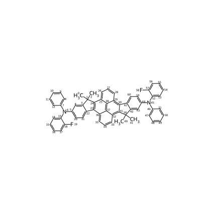 CC1(C)c2cc(N(c3ccccc3)c3ccccc3F)ccc2-c2c1c1cccc3c4c(c5cccc2c5c31)C(C)(C)c1cc(N(c2ccccc2)c2ccccc2F)ccc1-4